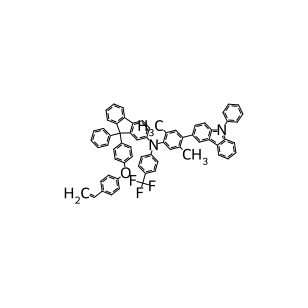 C=Cc1ccc(Oc2ccc(C3(c4ccccc4)c4ccccc4-c4ccc(N(c5ccc(C(F)(F)F)cc5)c5cc(C)c(-c6ccc7c(c6)c6ccccc6n7-c6ccccc6)cc5C)cc43)cc2)cc1